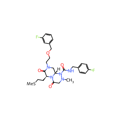 CSCC[C@H]1C(=O)N(CCOCc2cccc(F)c2)C[C@H]2N1C(=O)CN(C)N2C(=O)NCc1ccc(F)cc1